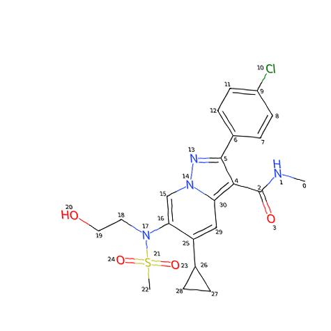 CNC(=O)c1c(-c2ccc(Cl)cc2)nn2cc(N(CCO)S(C)(=O)=O)c(C3CC3)cc12